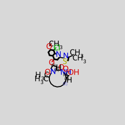 COc1ccc2c(O[C@@H]3C[C@H]4C(=O)N[C@]5(C(=O)O)C[C@H]5/C=C\CCCCCC(C)(C)C(=O)N4C3)cc(-c3nc(C(C)C)cs3)nc2c1Cl